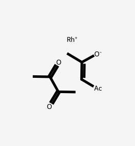 CC(=O)/C=C(/C)[O-].CC(=O)C(C)=O.[Rh+]